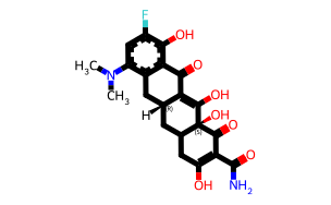 CN(C)c1cc(F)c(O)c2c1C[C@H]1CC3CC(O)=C(C(N)=O)C(=O)[C@@]3(O)C(O)=C1C2=O